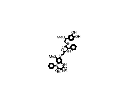 CCCCC1(CC)C(=O)[SH]c2cc(OCC(=O)N[C@@H](C(=O)NCC(OC)c3ccc(O)c(O)c3)c3ccccc3)c(SC)cc2N(c2ccccc2)C1=O